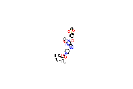 COc1nc(Oc2ccc(S(C)(=O)=O)cc2)c2cnn(C3CCN(C(=O)OC(C)(C)C)CC3)c2n1